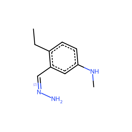 CCc1ccc(NC)cc1/C=N\N